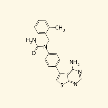 Cc1ccccc1CN(C(N)=O)c1ccc(-c2csc3ncnc(N)c23)cc1